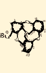 CCC(C)c1ccc2c3c1Oc1cccc4c1B3c1c(cccc1O2)O4